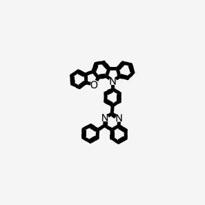 c1ccc(-c2nc(-c3ccc(-n4c5ccccc5c5ccc6c7ccccc7oc6c54)cc3)nc3ccccc23)cc1